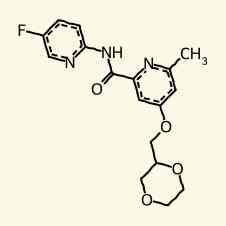 Cc1cc(OCC2COCCO2)cc(C(=O)Nc2ccc(F)cn2)n1